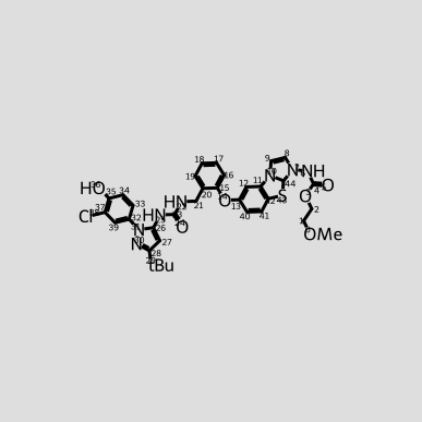 COCCOC(=O)NN1C=CN2c3cc(Oc4ccccc4CNC(=O)Nc4cc(C(C)(C)C)nn4-c4ccc(O)c(Cl)c4)ccc3SC12